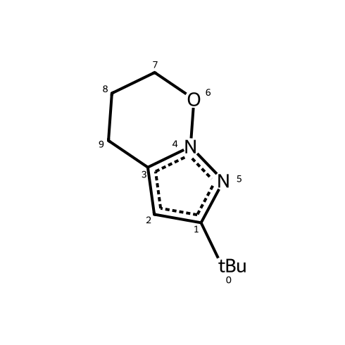 CC(C)(C)c1cc2n(n1)OCCC2